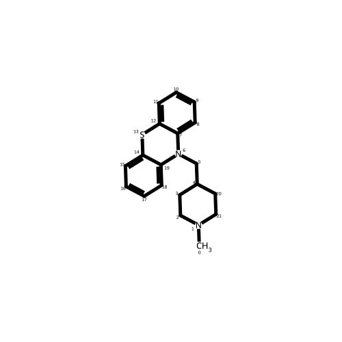 CN1CCC(CN2c3ccccc3Sc3ccccc32)CC1